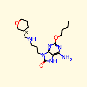 CCCCOc1nc(N)c2[nH]c(=O)n(CCCNC[C@H]3CCCOC3)c2n1